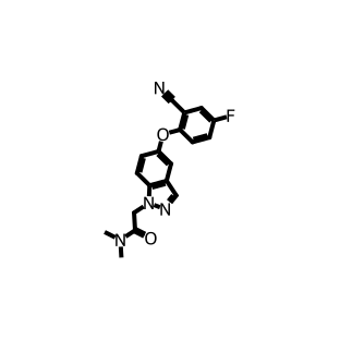 CN(C)C(=O)Cn1ncc2cc(Oc3ccc(F)cc3C#N)ccc21